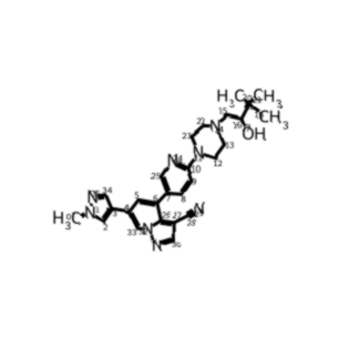 Cn1cc(-c2cc(-c3ccc(N4CCN(CC(O)C(C)(C)C)CC4)nc3)c3c(C#N)cnn3c2)cn1